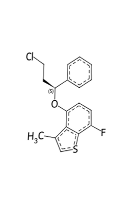 Cc1csc2c(F)ccc(O[C@@H](CCCl)c3ccccc3)c12